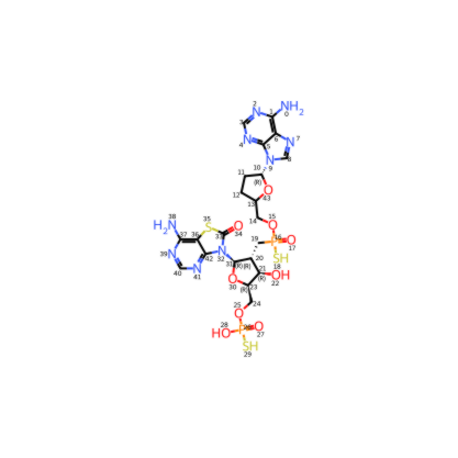 Nc1ncnc2c1ncn2[C@H]1CCC(COP(=O)(S)C[C@@H]2[C@@H](O)[C@@H](COP(=O)(O)S)O[C@H]2n2c(=O)sc3c(N)ncnc32)O1